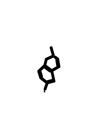 CN1C=Cc2cc(I)ccc2C1